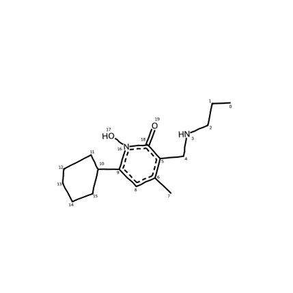 CCCNCc1c(C)cc(C2CCCCC2)n(O)c1=O